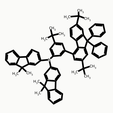 CC(C)(C)c1cc(-c2cc(C(C)(C)C)cc3c2-c2ccc(C(C)(C)C)cc2C3(c2ccccc2)c2ccccc2)cc(N(c2ccc3c(c2)C(C)(C)c2ccccc2-3)c2ccc3c(c2)C(C)(C)c2ccccc2-3)c1